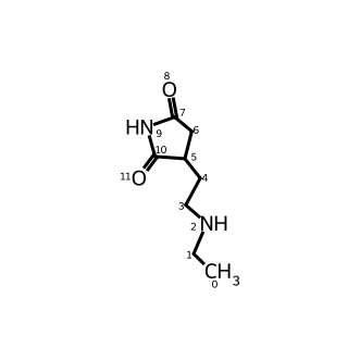 CCNCCC1CC(=O)NC1=O